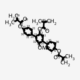 C=C(C)C(=O)Oc1ccc(-c2cc(OC(=O)C(=C)C)c(-c3ccc(OC(=O)C(=C)C)cc3)cc2OC)cc1